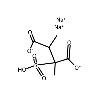 CC(C(=O)[O-])C(C)(C(=O)[O-])S(=O)(=O)O.[Na+].[Na+]